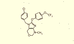 CN1COCc2c1nc(Oc1ccc(OC(F)(F)F)cc1)n2Cc1ccc(Cl)cc1